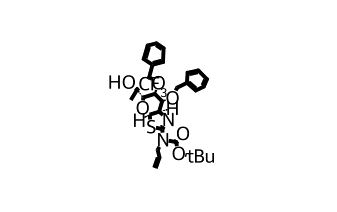 C=CCN(C(=O)OC(C)(C)C)C1=N[C@@H]2[C@@H](OCc3ccccc3)[C@H](OCc3ccccc3)[C@@H](C(C)(O)C(F)(F)F)O[C@@H]2S1